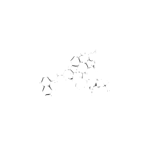 CCOC(=O)c1c(CCCOc2cccc3ccccc23)c2ccc(Cl)c(-c3c(CO)nn(C)c3C)c2n1CCCCN(C)C(=O)OC(C)(C)C